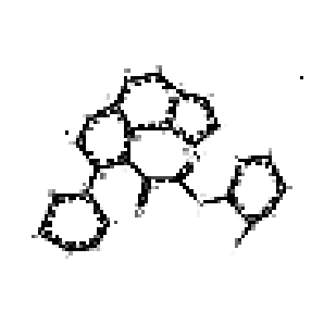 O=C(Nc1ccccc1F)C(=O)c1c(-c2ccccc2)ccc2ncn3cccc3c12